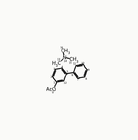 CC(=O)Oc1cccc(-c2ccccc2)c1.CN(C)C